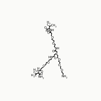 CC(C)[C@H](NC(=O)CCOCCOCCNC(=O)CN(CCOCCOCCOCCN)CC(=O)NCCOCCOCCC(=O)N[C@H](C(N)=O)C(C)C)C(N)=O